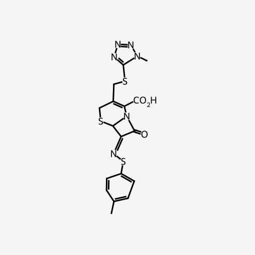 Cc1ccc(S/N=C2\C(=O)N3C(C(=O)O)=C(CSc4nnnn4C)CSC23)cc1